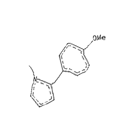 COc1ccc(-c2cccn2C)cc1